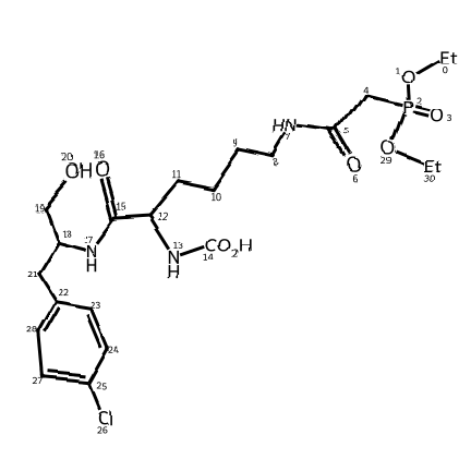 CCOP(=O)(CC(=O)NCCCCC(NC(=O)O)C(=O)NC(CO)Cc1ccc(Cl)cc1)OCC